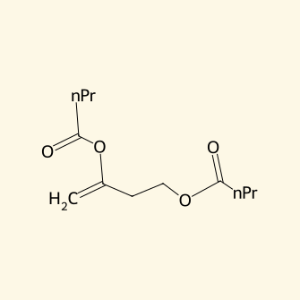 C=C(CCOC(=O)CCC)OC(=O)CCC